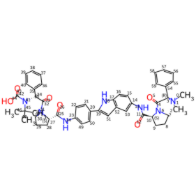 CN(C)[C@@H](C(=O)N1CCC[C@H]1C(=O)Nc1ccc2[nH]c(-c3ccc(NC(=O)[C@@H]4CCCN4C(=O)[C@@H](c4ccccc4)N(C(=O)O)C(C)(C)C)cc3)cc2c1)c1ccccc1